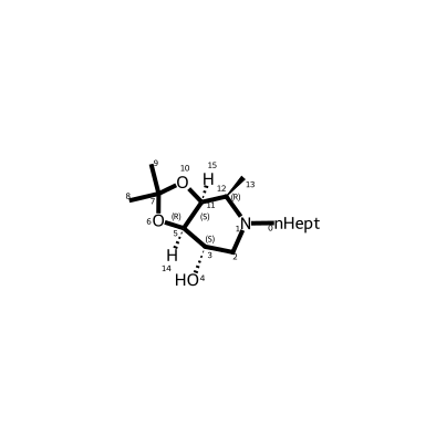 CCCCCCCN1C[C@H](O)[C@H]2OC(C)(C)O[C@H]2[C@H]1C